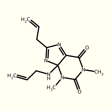 C=CCNC12N=C(CC=C)N=C1C(=O)N(C)C(=O)N2C